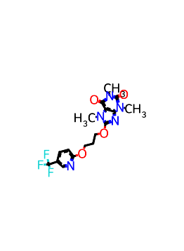 Cn1c(=O)c2c(nc(OCCCOc3ccc(C(F)(F)F)cn3)n2C)n(C)c1=O